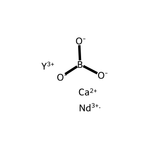 [Ca+2].[Nd+3].[O-]B([O-])[O-].[Y+3]